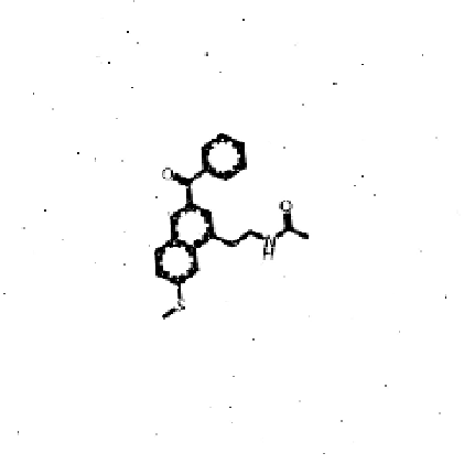 CSc1ccc2cc(C(=O)c3ccccc3)cc(CCNC(C)=O)c2c1